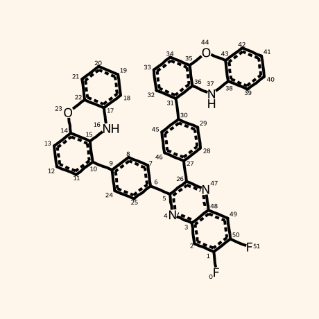 Fc1cc2nc(-c3ccc(-c4cccc5c4Nc4ccccc4O5)cc3)c(-c3ccc(-c4cccc5c4Nc4ccccc4O5)cc3)nc2cc1F